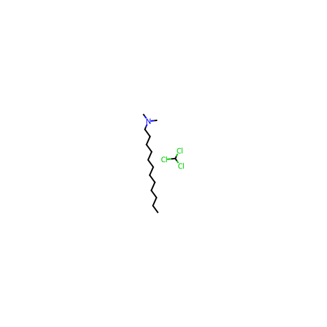 CCCCCCCCCCCCN(C)C.ClC(Cl)Cl